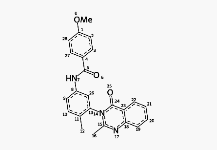 COc1ccc(C(=O)Nc2ccc(C)c(-n3c(C)nc4ccccc4c3=O)c2)cc1